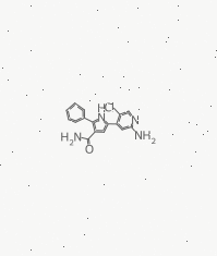 NC(=O)c1cc(-c2cc(N)ncc2Cl)[nH]c1-c1ccccc1